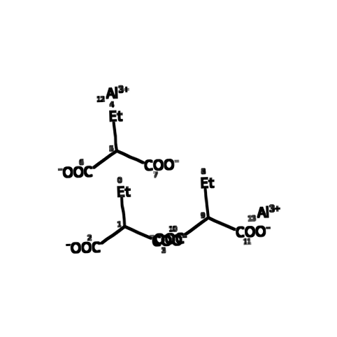 CCC(C(=O)[O-])C(=O)[O-].CCC(C(=O)[O-])C(=O)[O-].CCC(C(=O)[O-])C(=O)[O-].[Al+3].[Al+3]